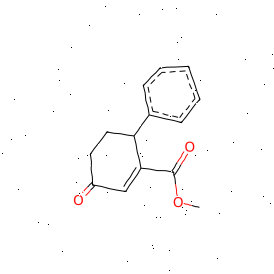 COC(=O)C1=CC(=O)CCC1c1ccccc1